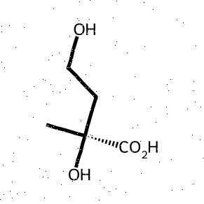 C[C@](O)(CCO)C(=O)O